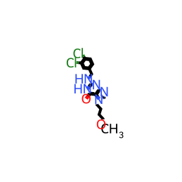 COCCCCn1cnc2nc(NCc3ccc(Cl)c(Cl)c3)[nH]c(=O)c21